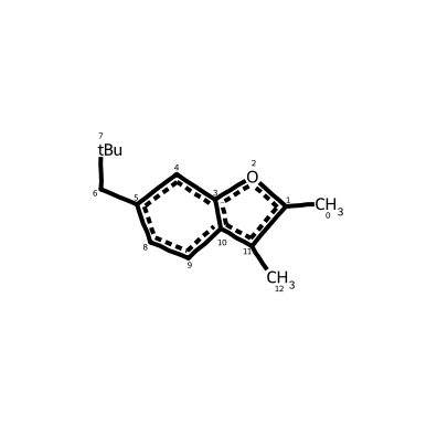 Cc1oc2cc(CC(C)(C)C)ccc2c1C